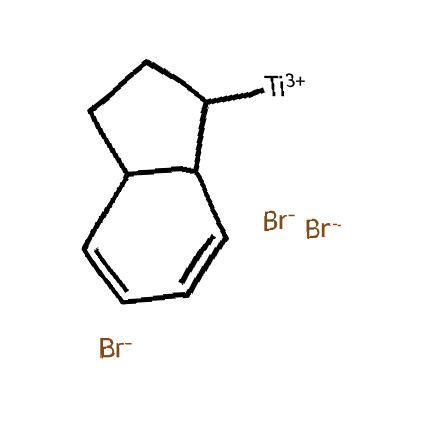 [Br-].[Br-].[Br-].[Ti+3][CH]1CCC2C=CC=CC12